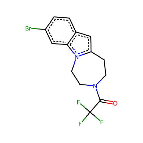 O=C(N1CCc2cc3ccc(Br)cc3n2CC1)C(F)(F)F